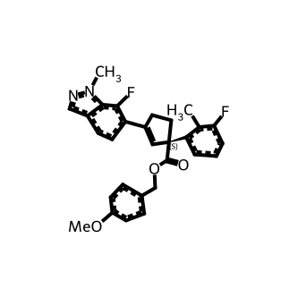 COc1ccc(COC(=O)[C@]2(c3cccc(F)c3C)C=C(c3ccc4cnn(C)c4c3F)CC2)cc1